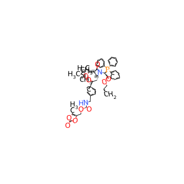 C=CCOC(=O)C(N1C(=O)[C@H]([C@@H](C)O[Si](C)(C)C)[C@H]1CC(=O)c1ccc(CNC(=O)OCc2oc(=O)oc2C)cc1)=P(c1ccccc1)(c1ccccc1)c1ccccc1